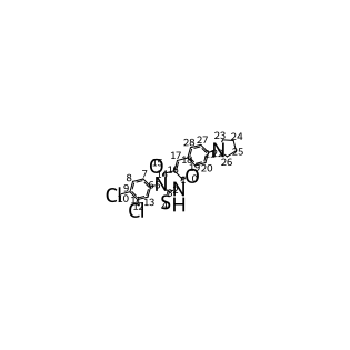 O=C1NC(=S)N(c2ccc(Cl)c(Cl)c2)C(=O)C1=Cc1ccc(N2CCCC2)cc1